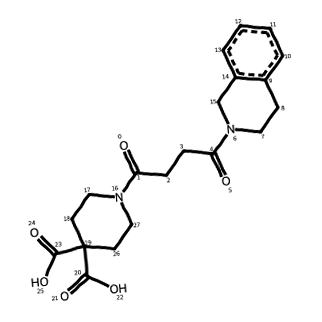 O=C(CCC(=O)N1CCc2ccccc2C1)N1CCC(C(=O)O)(C(=O)O)CC1